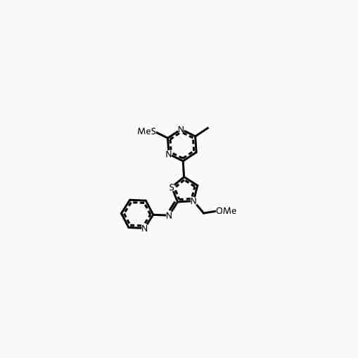 COCn1cc(-c2cc(C)nc(SC)n2)s/c1=N\c1ccccn1